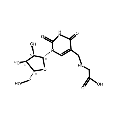 O=C(O)CNCc1cn([C@@H]2O[C@H](CO)[C@@H](O)[C@H]2O)c(=O)[nH]c1=O